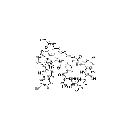 CCC(=O)NCCOCCOCC(=O)N[C@@H](CC(C)C)C(=O)N[C@H](C(=O)N[C@H](C(=O)N[C@@H](CO)C(=O)N1CCC[C@H]1C(=O)N[C@@H](Cc1c[nH]c2ccccc12)C(=O)N[C@@H](Cc1ccc(O)cc1)C(=O)O)C(C)C)[C@@H](C)O